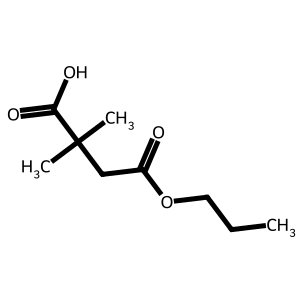 CCCOC(=O)CC(C)(C)C(=O)O